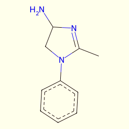 CC1=NC(N)CN1c1ccccc1